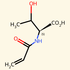 C=CC(=O)N[C@H](C(=O)O)C(C)O